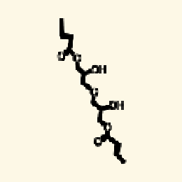 CC=CC(=O)OCC(O)COCC(O)COC(=O)C=CC